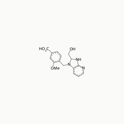 COc1cc(C(=O)O)ccc1CN1c2cccnc2NC1CO